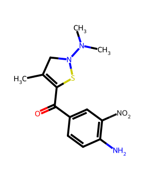 CC1=C(C(=O)c2ccc(N)c([N+](=O)[O-])c2)SN(N(C)C)C1